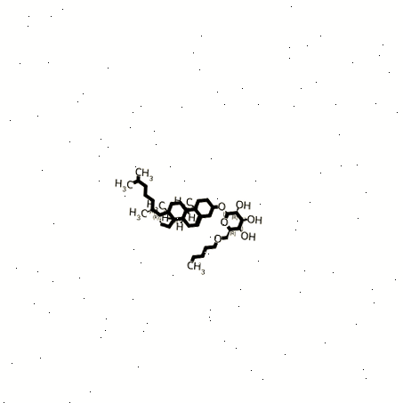 CCCCCOC[C@H]1O[C@H](OC2CC[C@@]3(C)C(=CC[C@H]4[C@@H]5CC[C@H]([C@H](C)CCCC(C)C)[C@@]5(C)CC[C@@H]43)C2)[C@H](O)[C@@H](O)[C@@H]1O